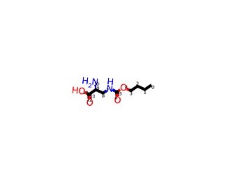 CCCCOC(=O)NC[C@H](N)C(=O)O